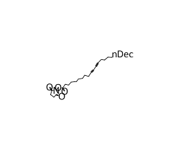 CCCCCCCCCCCCCCC#CC#CCCCCCCCCC(=O)ON1C(=O)CCC1=O